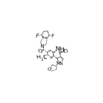 Cc1cc2c(cc1C(=O)N1Cc3c(F)ccc(F)c3C1)[nH]c(=O)c1cnn(C3CCOC3)c12